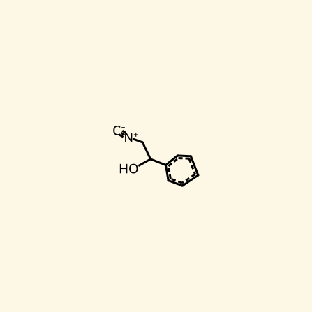 [C-]#[N+]CC(O)c1ccccc1